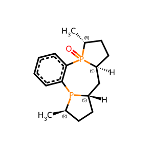 C[C@@H]1CC[C@H]2C[C@@H]3CC[C@@H](C)P3(=O)c3ccccc3P21